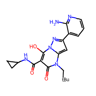 CC(C)(C)Cn1c(=O)c(C(=O)NC2CC2)c(O)n2nc(-c3cccnc3N)cc12